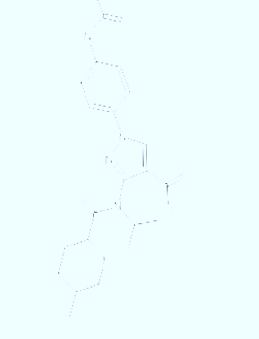 CC(=O)Nc1ccc(-n2cc(C(=O)O)c(N(C(=O)C3CCC(C)CC3)C(C)C)n2)cc1